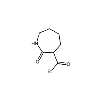 CCC(=O)C1CCCCNC1=O